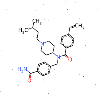 C=Cc1ccc(C(=O)N(Cc2ccc(C(N)=O)cc2)C2CCN(CCC(C)C)CC2)cc1